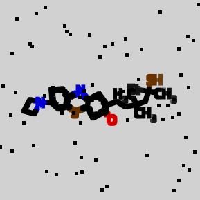 CCC(C)(S)CC(C)(C)CCc1cc2nc3ccc(N4CCC4)cc3sc-2cc1=O